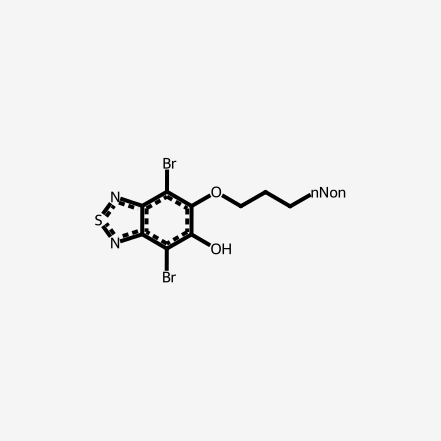 CCCCCCCCCCCCOc1c(O)c(Br)c2nsnc2c1Br